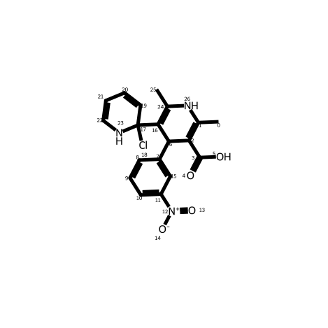 CC1=C(C(=O)O)C(c2cccc([N+](=O)[O-])c2)C(C2(Cl)C=CC=CN2)=C(C)N1